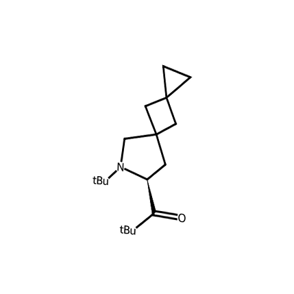 CC(C)(C)C(=O)[C@@H]1CC2(CN1C(C)(C)C)CC1(CC1)C2